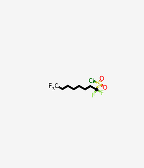 O=S(=O)(Cl)C(F)(F)CCCCCCC(F)(F)F